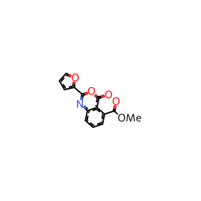 COC(=O)c1cccc2nc(-c3ccco3)oc(=O)c12